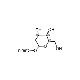 CCCCCOC1C[C@H](O)[C@@H](O)[C@@H](CO)O1